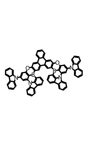 c1ccc2c(c1)c1cc3c(cc1c1cc4c(cc21)Oc1cc(-n2c5ccccc5c5ccccc52)cc2c1B4c1cccc4c5ccccc5n-2c14)B1c2c(cc(-n4c5ccccc5c5ccccc54)cc2-n2c4ccccc4c4cccc1c42)O3